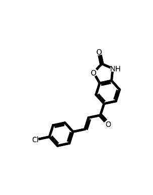 O=C(/C=C/c1ccc(Cl)cc1)c1ccc2[nH]c(=O)oc2c1